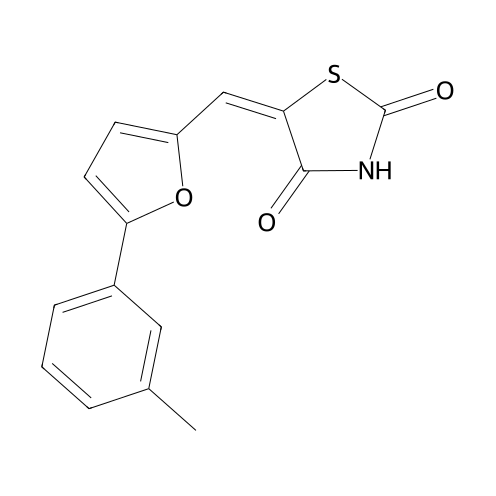 Cc1cccc(-c2ccc(C=C3SC(=O)NC3=O)o2)c1